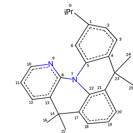 CC(C)c1ccc2c(c1)N1c3ncccc3C(C)(C)c3cccc(c31)C2(C)C